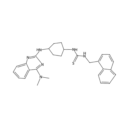 CN(C)c1nc(NC2CCC(NC(=S)NCc3cccc4ccccc34)CC2)nc2ccccc12